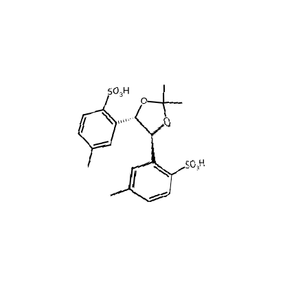 Cc1ccc(S(=O)(=O)O)c([C@@H]2OC(C)(C)O[C@H]2c2cc(C)ccc2S(=O)(=O)O)c1